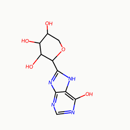 Oc1ncnc2nc(C3OCC(O)C(O)C3O)[nH]c12